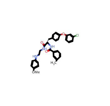 COc1ccc(NCCNC(=O)[C@H](Cc2ccc(Oc3cccc(Cl)c3)cc2)NC(=O)c2cccc(C)c2)cc1